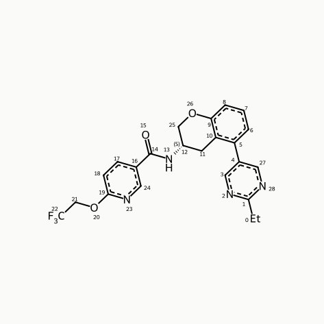 CCc1ncc(-c2cccc3c2C[C@H](NC(=O)c2ccc(OCC(F)(F)F)nc2)CO3)cn1